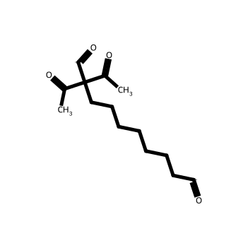 CC(=O)C([C]=O)(CCCCCCC[C]=O)C(C)=O